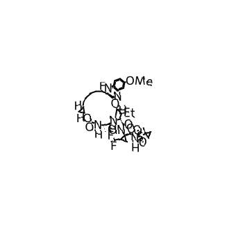 CC[C@@H]1[C@@H]2CN(C(=O)[C@H](C)NC(=O)O[C@@H]3C[C@H]3CCCCC(F)c3nc4ccc(OC)cc4nc3O2)[C@@H]1C(=O)N[C@]1(C(=O)NS(=O)(=O)C2(C)CC2)CC1C(F)F